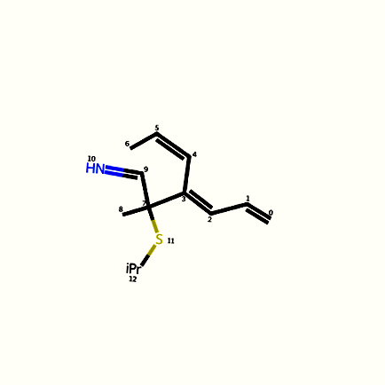 C=C/C=C(\C=C/C)C(C)(C=N)SC(C)C